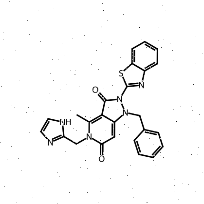 Cc1c2c(=O)n(-c3nc4ccccc4s3)n(Cc3ccccc3)c2cc(=O)n1Cc1ncc[nH]1